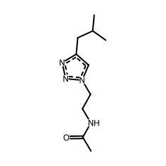 CC(=O)NCCn1cc(CC(C)C)nn1